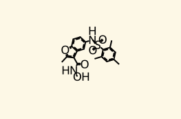 Cc1cc(C)c(S(=O)(=O)Nc2ccc3oc(C)c(C(=O)NO)c3c2)c(C)c1